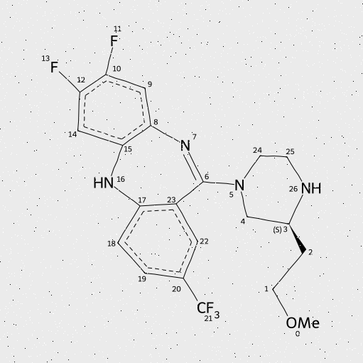 COCC[C@H]1CN(C2=Nc3cc(F)c(F)cc3Nc3ccc(C(F)(F)F)cc32)CCN1